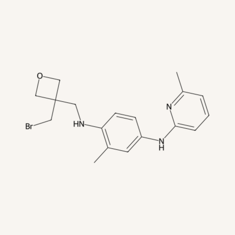 Cc1cccc(Nc2ccc(NCC3(CBr)COC3)c(C)c2)n1